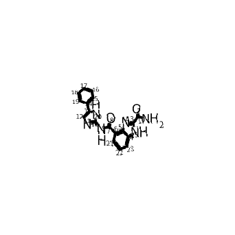 NC(=O)c1nc2c(C(=O)Nc3ncc(-c4ccccc4)[nH]3)cccc2[nH]1